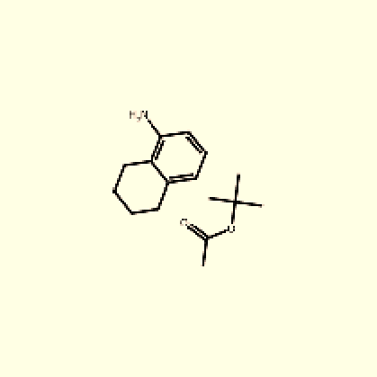 CC(=O)OC(C)(C)C.Nc1cccc2c1CCCC2